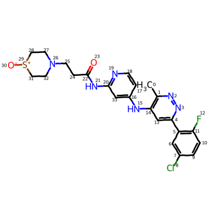 Cc1nnc(-c2cc(Cl)ccc2F)cc1Nc1ccnc(NC(=O)CCN2CC[S+]([O-])CC2)c1